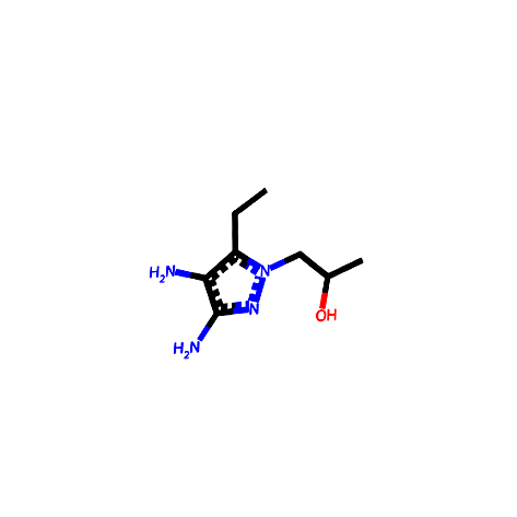 CCc1c(N)c(N)nn1CC(C)O